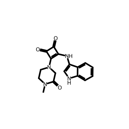 CN1CCN(c2c(Nc3c[nH]c4ccccc34)c(=O)c2=O)CC1=O